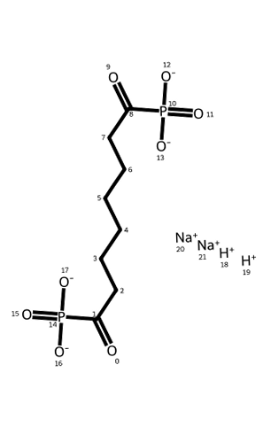 O=C(CCCCCCC(=O)P(=O)([O-])[O-])P(=O)([O-])[O-].[H+].[H+].[Na+].[Na+]